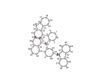 c1cc(N(c2ccccc2-c2cccc3sc4ccccc4c23)c2cccc3ccccc23)cc(-n2c3ccccc3c3ccccc32)c1